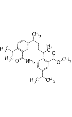 COC(=O)c1cc(C(C)C)ccc1C(C)CCC(C)c1ccc(C(C)C)c(C(N)=O)c1